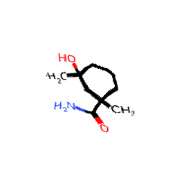 [CH2]C1(O)CCCC(C)(C(N)=O)C1